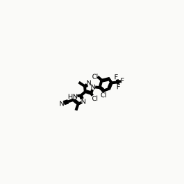 Cc1nc(-c2c(C)nn(-c3c(Cl)cc(C(F)(F)F)cc3Cl)c2Cl)[nH]c1C#N